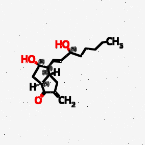 C=C1C[C@H]2[C@H](C=C[C@@H](O)CCCCC)[C@H](O)C[C@@H]2C1=O